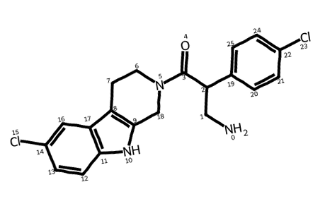 NCC(C(=O)N1CCc2c([nH]c3ccc(Cl)cc23)C1)c1ccc(Cl)cc1